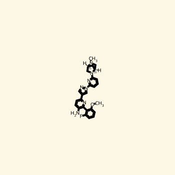 COc1cccc(F)c1-c1nc(-c2cnn(-c3cccc(N4C[C@@H]5C[C@H]4CN5C)n3)c2)ccc1N